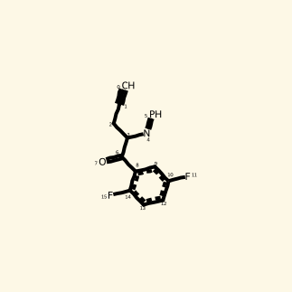 C#CCC(N=P)C(=O)c1cc(F)ccc1F